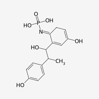 CC(c1ccc(O)cc1)C(O)C1=CC(O)=CCC1=NP(=O)(O)O